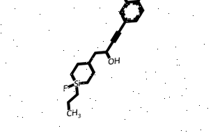 CCC[Si]1(F)CCC(CC(O)C#Cc2ccc(F)c(F)c2)CC1